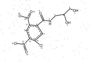 O=C(NCC(O)CO)c1cc(Cl)c([N+](=O)[O-])cc1[N+](=O)[O-]